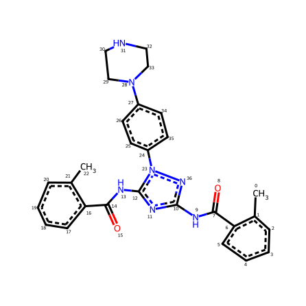 Cc1ccccc1C(=O)Nc1nc(NC(=O)c2ccccc2C)n(-c2ccc(N3CCNCC3)cc2)n1